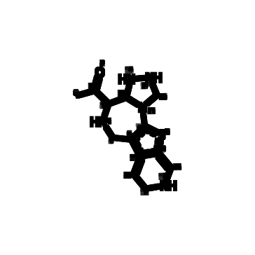 CC(=O)C1NCc2c(sc3c2=CCNC=3)N2CNNC12